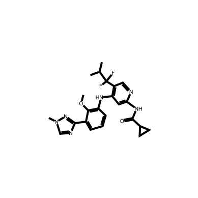 COc1c(Nc2cc(NC(=O)C3CC3)ncc2C(F)(F)C(C)C)cccc1-c1ncn(C)n1